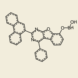 OBOc1cccc2c1oc1nc(-c3cc4ccccc4c4ccccc34)nc(-c3ccccc3)c12